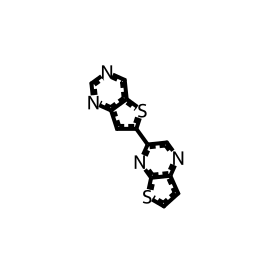 c1ncc2sc(-c3cnc4ccsc4n3)cc2n1